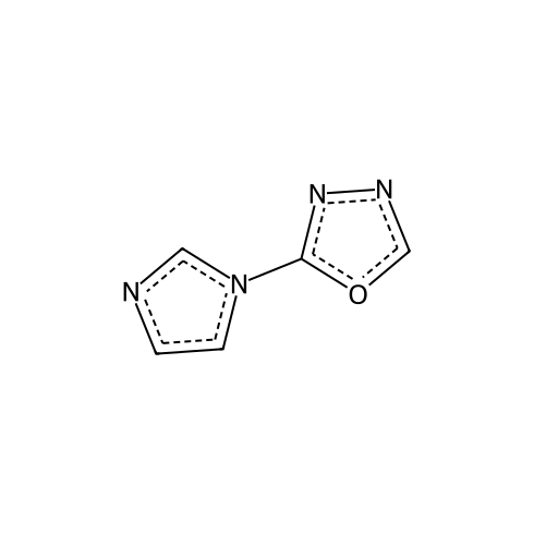 c1cn(-c2nnco2)cn1